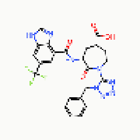 O=C(N[C@H]1CCCCN(c2nnnn2Cc2ccccc2)C1=O)c1cc(C(F)(F)F)cc2[nH]cnc12.O=CO